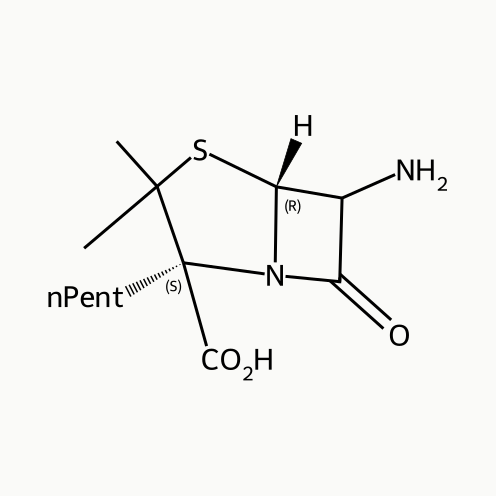 CCCCC[C@@]1(C(=O)O)N2C(=O)C(N)[C@H]2SC1(C)C